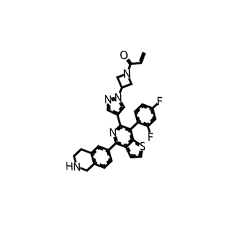 C=CC(=O)N1CC(n2cc(-c3nc(-c4ccc5c(c4)CCNC5)c4ccsc4c3-c3ccc(F)cc3F)cn2)C1